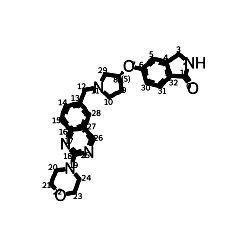 O=C1NCc2cc(O[C@H]3CCN(Cc4ccc5nc(N6CCOCC6)ncc5c4)C3)ccc21